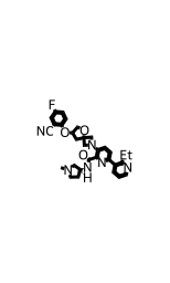 CCc1ncccc1-c1ccc(N2CC3(CC(Oc4ccc(F)cc4C#N)CO3)C2)c(C(=O)N[C@@H]2CCN(C)C2)n1